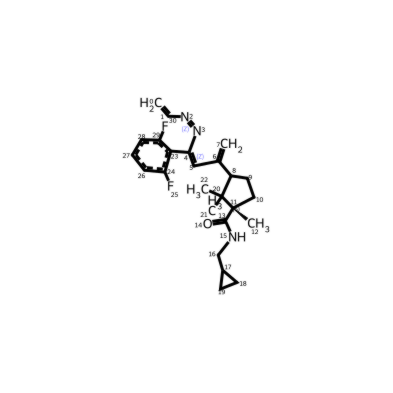 C=C/N=N\C(=C/C(=C)C1CC[C@](C)(C(=O)NCC2CC2)C1(C)C)c1c(F)cccc1F